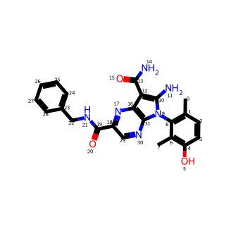 Cc1ccc(O)c(C)c1-n1c(N)c(C(N)=O)c2nc(C(=O)NCc3ccccc3)cnc21